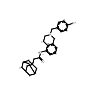 O=C(CC12CC3CC(CC(C3)C1)C2)Nc1cccc2c1CCN(Cc1ccc(F)cc1)C2